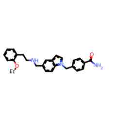 CCOc1ccccc1CCNCc1ccc2c(ccn2Cc2ccc(C(N)=O)cc2)c1